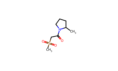 CC1CCCN1C(=O)CS(C)(=O)=O